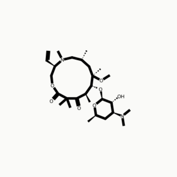 C=C[C@@H]1COC(=O)C(C)(C)C(=O)[C@H](C)[C@@H](O[C@@H]2O[C@H](C)C[C@H](N(C)C)[C@H]2O)[C@](C)(OC)C[C@@H](C)CN1C